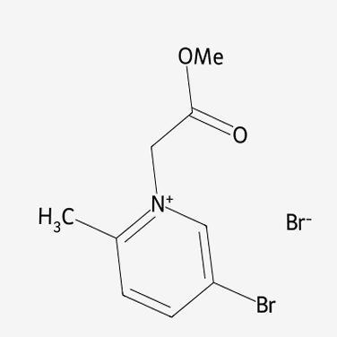 COC(=O)C[n+]1cc(Br)ccc1C.[Br-]